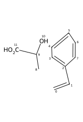 C=Cc1ccccc1.CC(O)C(=O)O